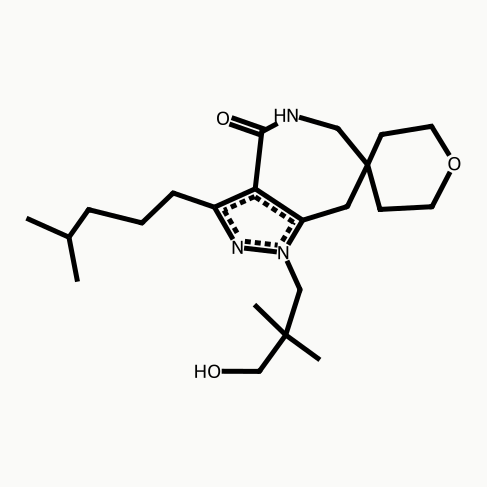 CC(C)CCCc1nn(CC(C)(C)CO)c2c1C(=O)NCC1(CCOCC1)C2